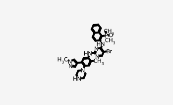 Cc1cc(N2CCNCC2)c(-c2cnn(C)c2)cc1Nc1ncc(Br)c(Nc2ccc3ccccc3c2P(C)(C)=O)n1